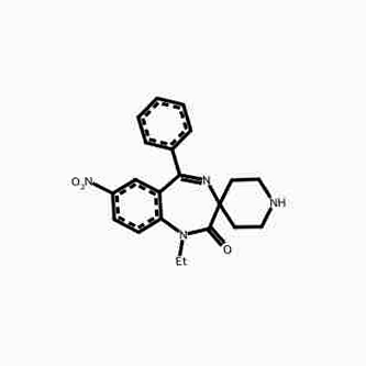 CCN1C(=O)C2(CCNCC2)N=C(c2ccccc2)c2cc([N+](=O)[O-])ccc21